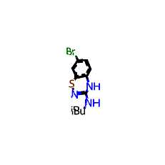 CCC(C)NC1=NSc2cc(Br)ccc2N1